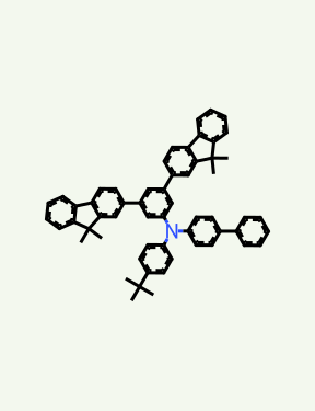 CC(C)(C)c1ccc(N(c2ccc(-c3ccccc3)cc2)c2cc(-c3ccc4c(c3)C(C)(C)c3ccccc3-4)cc(-c3ccc4c(c3)C(C)(C)c3ccccc3-4)c2)cc1